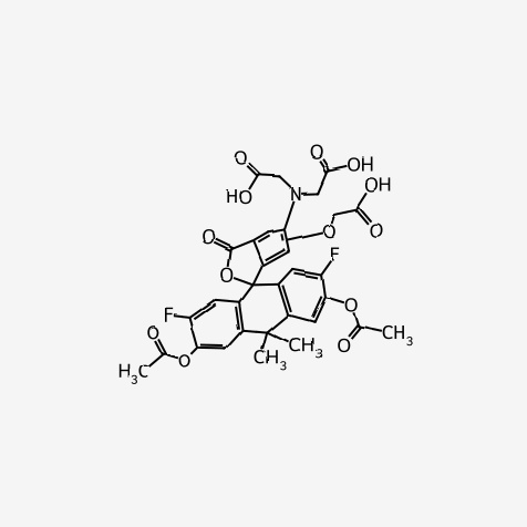 CC(=O)Oc1cc2c(cc1F)C1(OC(=O)c3cc(N(CC(=O)O)CC(=O)O)c(OCC(=O)O)cc31)c1cc(F)c(OC(C)=O)cc1C2(C)C